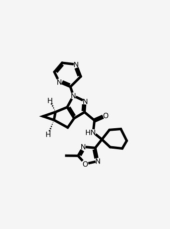 Cc1nc(C2(NC(=O)c3nn(-c4cnccn4)c4c3C[C@H]3C[C@@H]43)CCCCC2)no1